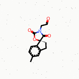 Cc1ccc2c(c1)CC[C@@]21OC(=O)N(CC=O)C1=O